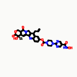 C=CCc1c2c(nc3ccc(OC(=O)N4CCN(c5ncc(C(=O)NO)cn5)CC4)cc13)-c1cc3c(c(=O)n1C2)COC(=O)[C@]3(O)CC